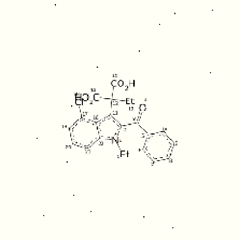 CCn1c(C(=O)c2ccccc2)c(C(CC)(C(=O)O)C(=O)O)c2c(Cl)cccc21